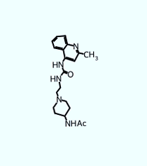 CC(=O)NC1CCN(CCNC(=O)Nc2cc(C)nc3ccccc23)CC1